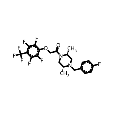 C[C@@H]1CN(C(=O)COc2c(F)c(F)c(C(F)(F)F)c(F)c2F)[C@@H](C)CN1Cc1ccc(F)cc1